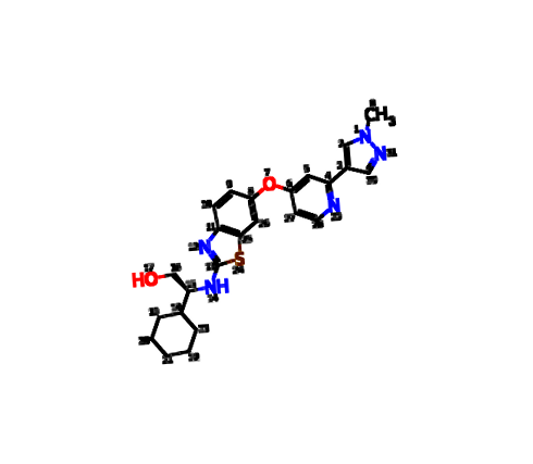 Cn1cc(-c2cc(Oc3ccc4nc(N[C@H](CO)C5CCCCC5)sc4c3)ccn2)cn1